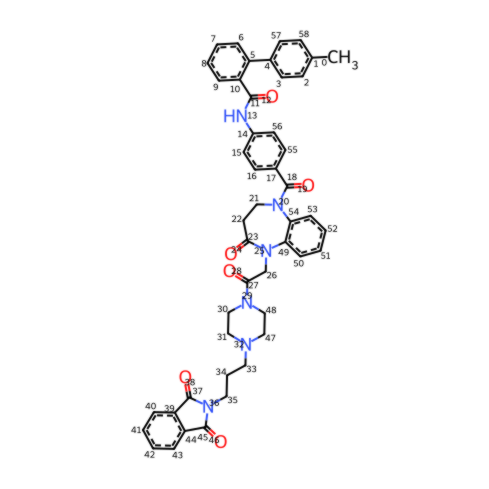 Cc1ccc(-c2ccccc2C(=O)Nc2ccc(C(=O)N3CCC(=O)N(CC(=O)N4CCN(CCCN5C(=O)c6ccccc6C5=O)CC4)c4ccccc43)cc2)cc1